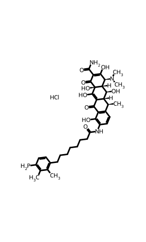 Cc1c(P)ccc(CCCCCCCC(=O)Nc2ccc3c(c2O)C(=O)C2=C(O)[C@]4(O)C(=O)C(C(N)=O)=C(O)[C@@H](N(C)C)[C@@H]4[C@@H](O)[C@@H]2[C@H]3C)c1C.Cl